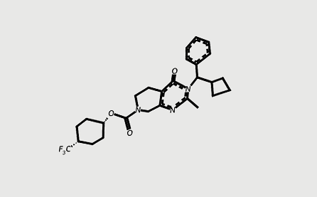 Cc1nc2c(c(=O)n1C(c1ccccc1)C1CCC1)CCN(C(=O)O[C@H]1CC[C@@H](C(F)(F)F)CC1)C2